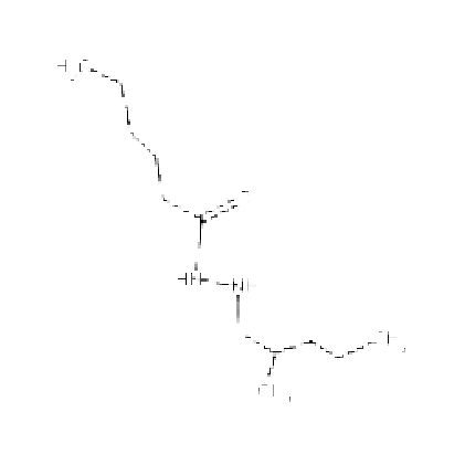 CCCCCC(=O)NNCC(C)CCC